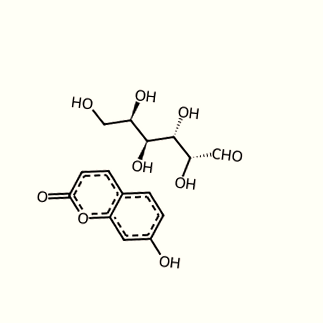 O=C[C@H](O)[C@@H](O)[C@@H](O)[C@H](O)CO.O=c1ccc2ccc(O)cc2o1